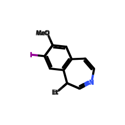 CCC1C=NC=Cc2cc(OC)c(I)cc21